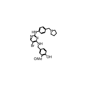 COc1cc(CNc2nc(Nc3ccc(CN4CCCC4)cc3)ncc2Br)ccc1O